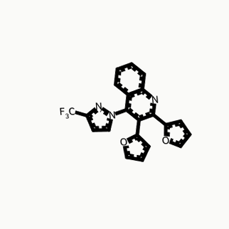 FC(F)(F)c1ccn(-c2c(-c3ccco3)c(-c3ccco3)nc3ccccc23)n1